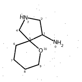 NC1CNCC12CCCCO2